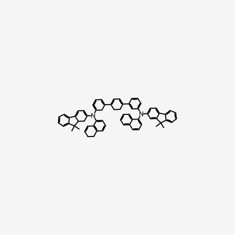 CC1(C)c2ccccc2-c2ccc(N(c3cccc(C4=CC=C(C5=CC=C=C(N(C6=CC=C7c8ccccc8C(C)(C)C7C6)c6cccc7c6C=CCC7)C5)CC4)c3)c3cccc4ccccc34)cc21